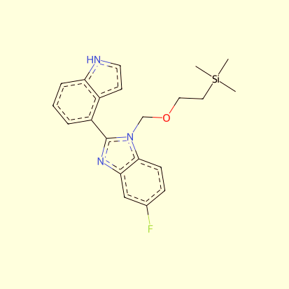 C[Si](C)(C)CCOCn1c(-c2cccc3[nH]ccc23)nc2cc(F)ccc21